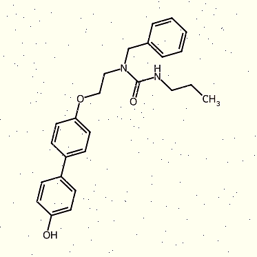 CCCNC(=O)N(CCOc1ccc(-c2ccc(O)cc2)cc1)Cc1ccccc1